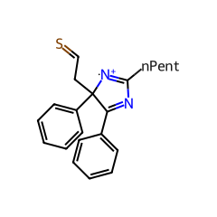 CCCCCC1=[N+]C(CC=S)(c2ccccc2)C(c2ccccc2)=N1